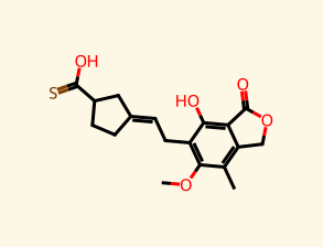 COc1c(C)c2c(c(O)c1CC=C1CCC(C(O)=S)C1)C(=O)OC2